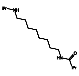 CC(C)NCCCCCCCCNC(=O)C(C)C